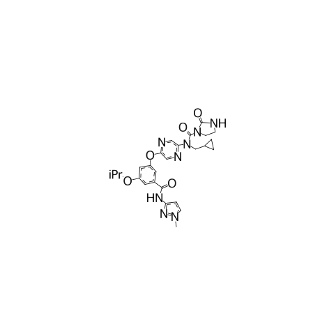 CC(C)Oc1cc(Oc2cnc(N(CC3CC3)C(=O)N3CCNC3=O)cn2)cc(C(=O)Nc2ccn(C)n2)c1